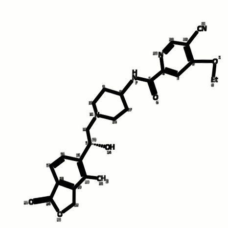 CCOc1cc(C(=O)NC2CCN(C[C@H](O)c3ccc4c(c3C)COC4=O)CC2)ncc1C#N